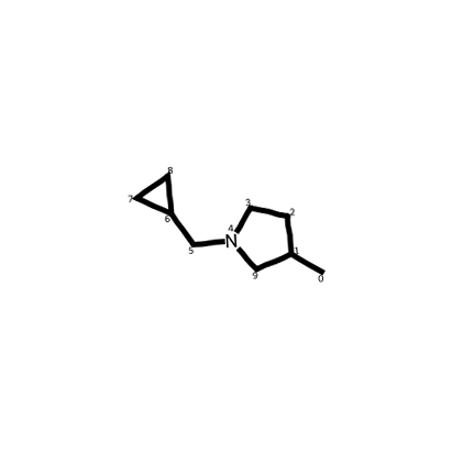 CC1CCN(CC2CC2)C1